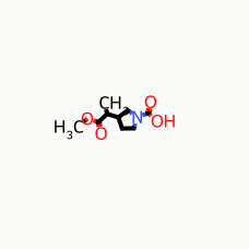 COC(=O)C(C)C1CCN(C(=O)O)C1